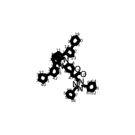 O=c1oc2cc(-n3c4ccccc4c4cc(-c5ccccc5)ccc43)c(-n3c4ccccc4c4cc(-c5ccccc5)ccc43)cc2cc1-c1nc(-c2ccccc2)nc(-c2ccccc2)n1